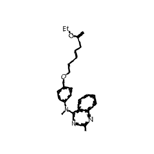 C=C(CCCCCOc1ccc(N(C)c2nc(C)nc3ccccc23)cc1)OCC